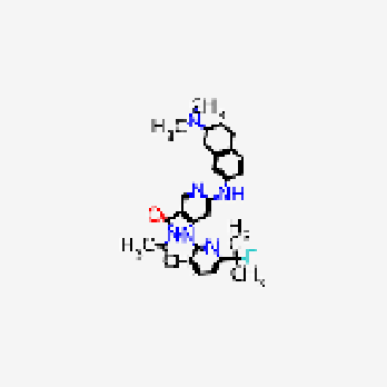 CC(C)n1c(=O)c2cnc(Nc3ccc4c(c3)CC(N(C)C)CC4)cc2n1-c1cccc(C(C)(C)F)n1